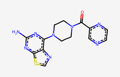 Nc1nc(N2CCN(C(=O)c3cnccn3)CC2)c2ncsc2n1